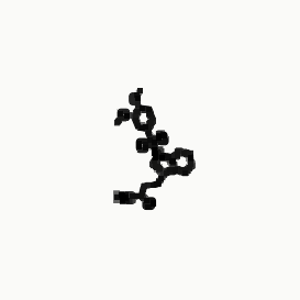 COc1ccc(S(=O)(=O)n2cc(CCC(=O)O)c3ccccc32)cc1OC